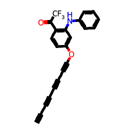 C#CC#CC#CC#COc1ccc(C(=O)C(F)(F)F)c(Nc2ccccc2)c1